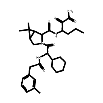 CCCC(NC(=O)C1C2C(CN1C(=O)C(NC(=O)Cc1cccc(C)c1)C1CCCCC1)C2(C)C)C(=O)C(N)=O